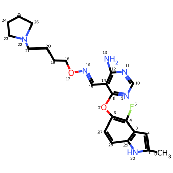 Cc1cc2c(F)c(Oc3ncnc(N)c3/C=N/OCCCCN3CCCC3)ccc2[nH]1